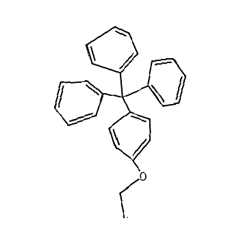 [CH2]COc1ccc(C(c2ccccc2)(c2ccccc2)c2ccccc2)cc1